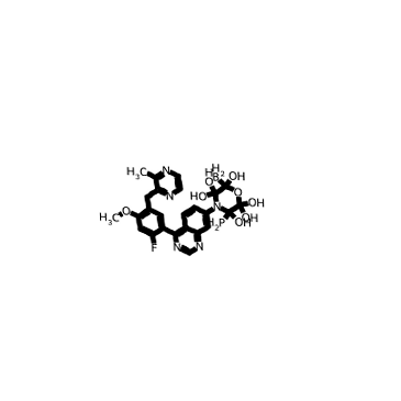 BC1(O)OC(O)(O)C(O)(P)N(c2ccc3c(-c4cc(Cc5nccnc5C)c(OC)cc4F)ncnc3c2)C1(O)O